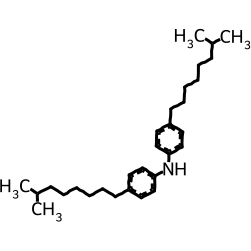 CC(C)CCCCCCc1ccc(Nc2ccc(CCCCCCC(C)C)cc2)cc1